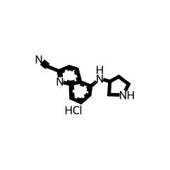 Cl.N#Cc1ccc2c(NC3CCNC3)cccc2n1